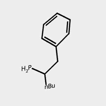 CCCCC(P)Cc1ccccc1